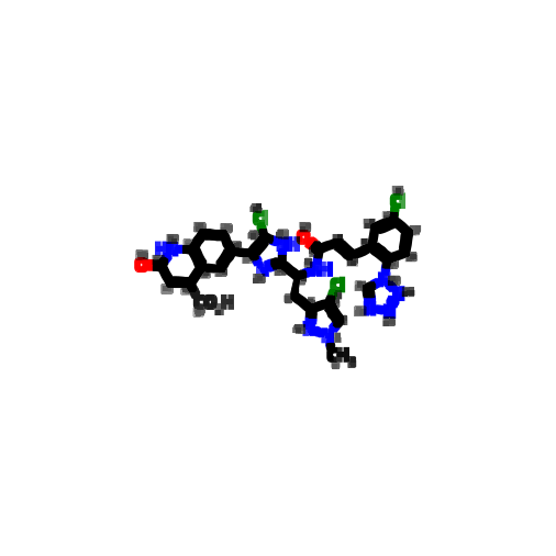 Cn1cc(Cl)c(C[C@H](NC(=O)/C=C/c2cc(Cl)ccc2-n2cnnn2)c2nc(-c3ccc4[nH]c(=O)cc(C(=O)O)c4c3)c(Cl)[nH]2)n1